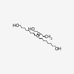 C=CCOCCO.OCCCCCCC=COC=CCCCCCCO